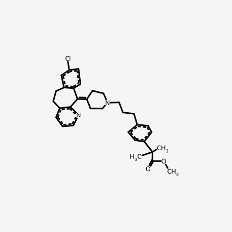 COC(=O)C(C)(C)c1ccc(CCCN2CCC(=C3c4ccc(Cl)cc4CCc4cccnc43)CC2)cc1